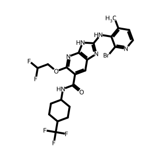 Cc1ccnc(Br)c1Nc1nc2cc(C(=O)NC3CCC(C(F)(F)F)CC3)c(OCC(F)F)nc2[nH]1